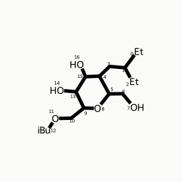 CCC(CC)CC1C(CO)OC(COC(C)CC)C(O)C1O